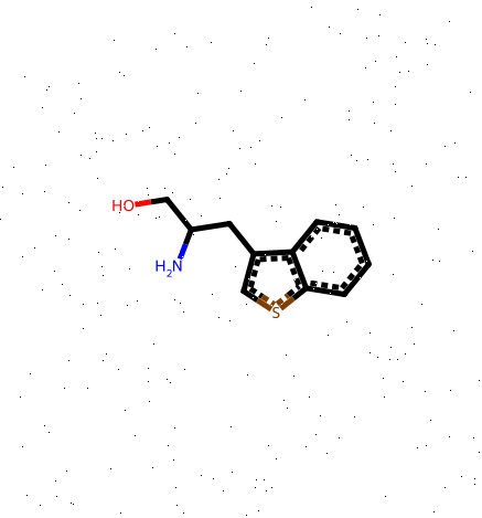 NC(CO)Cc1csc2ccccc12